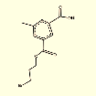 Cc1cc(C(=O)O)cc(C(=O)OCCCBr)c1